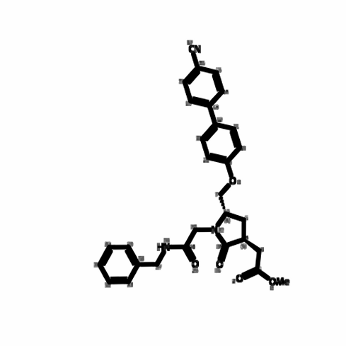 COC(=O)C[C@@H]1C[C@@H](COc2ccc(-c3ccc(C#N)cc3)cc2)N(CC(=O)NCc2ccccc2)C1=O